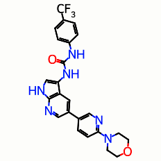 O=C(Nc1ccc(C(F)(F)F)cc1)Nc1c[nH]c2ncc(-c3ccc(N4CCOCC4)nc3)cc12